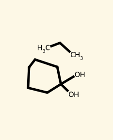 CCC.OC1(O)CCCCC1